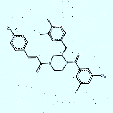 Cc1ccc(C[C@@H]2CN(C(=O)C=Cc3ccc(Cl)cc3)CCN2C(=O)c2cc(C(F)(F)F)cc(C(F)(F)F)c2)cc1C